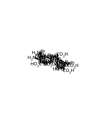 CC(C)C[C@H](NC(=O)[C@H](Cc1ccccc1)NC(=O)[C@H](CCC(=O)O)NC(=O)[C@H](CO)NC(=O)[C@H](CCC(=O)O)NC(=O)CNC(=O)[C@H](CCC(=O)O)NC(=O)[C@H](CC(C)C)NC(=O)[C@H](CCCNC(=N)N)NC(=O)[C@H](CC(C)C)NC(=O)CNC(=O)[C@H](CC(=O)O)NC(=O)[C@H](CCCCN)NC(=O)[C@@H](NC(=O)[C@@H](N)C(C)C)[C@@H](C)O)C(=O)O